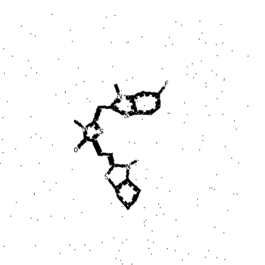 CN1/C(=C/C=c2\s/c(=C\c3sc4ccc(F)cc4[n+]3C)n(C)c2=O)Sc2ccccc21